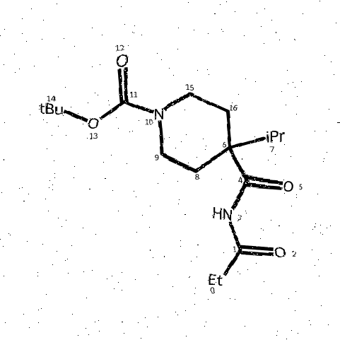 CCC(=O)NC(=O)C1(C(C)C)CCN(C(=O)OC(C)(C)C)CC1